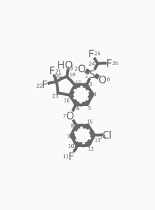 O=S(=O)(c1ccc(Oc2cc(F)cc(Cl)c2)c2c1C(O)C(F)(F)C2)C(F)F